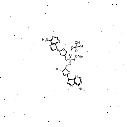 COSP(=O)(OC[C@H]1OC(C2C=Nc3c(N)ncnc32)C[C@@H]1O)O[C@H]1CC(C2C=Nc3c(N)ncnc32)O[C@@H]1COP(=O)(O)S